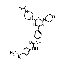 CC(=O)N1CCCN(c2nc(-c3ccc(NC(=O)Nc4ccc(C(N)=O)cc4)cc3)nc(N3CCOCC3)n2)CC1